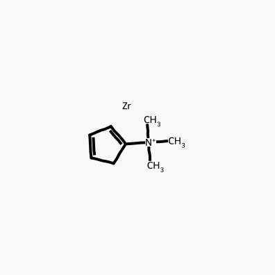 C[N+](C)(C)C1=CC=CC1.[Zr]